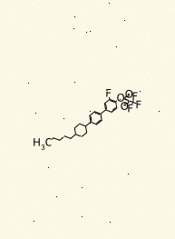 CCCCCC1CCC(c2ccc(-c3ccc(OS(=O)(=O)C(F)(F)F)c(F)c3)cc2)CC1